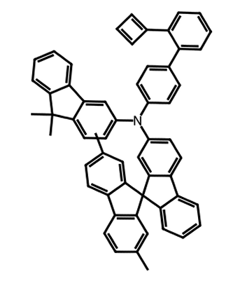 Cc1ccc2c(c1)C1(c3ccccc3-c3ccc(N(c4ccc(-c5ccccc5C5=CC=C5)cc4)c4ccc5c(c4)-c4ccccc4C5(C)C)cc31)c1cc(C)ccc1-2